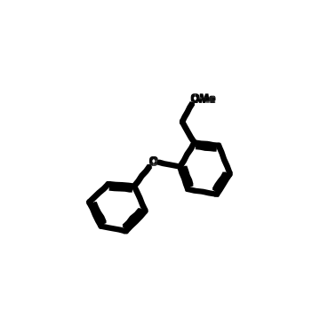 COCc1ccccc1Oc1ccccc1